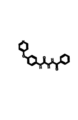 O=C(NNC(=O)c1ccccc1)Nc1ccc(Oc2ccncc2)cc1